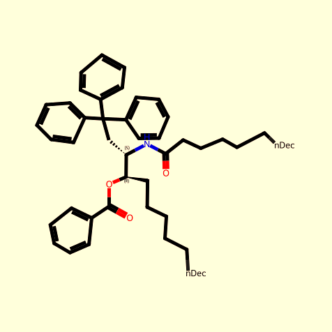 CCCCCCCCCCCCCCCC(=O)N[C@@H](CC(c1ccccc1)(c1ccccc1)c1ccccc1)[C@@H](CCCCCCCCCCCCCCC)OC(=O)c1ccccc1